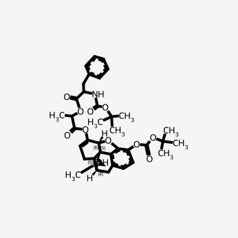 CC(OC(=O)C(Cc1ccccc1)NC(=O)OC(C)(C)C)C(=O)OC1=CC[C@@]2(O)[C@H]3Cc4ccc(OC(=O)OC(C)(C)C)c5c4[C@@]2(CCN3C)[C@H]1O5